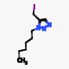 CCCCCCn1nncc1CI